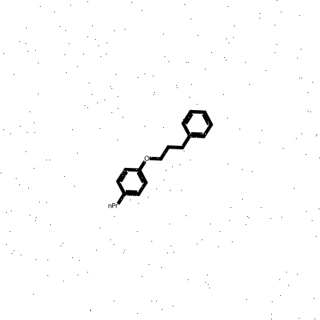 CCCc1ccc(OCCCc2ccccc2)cc1